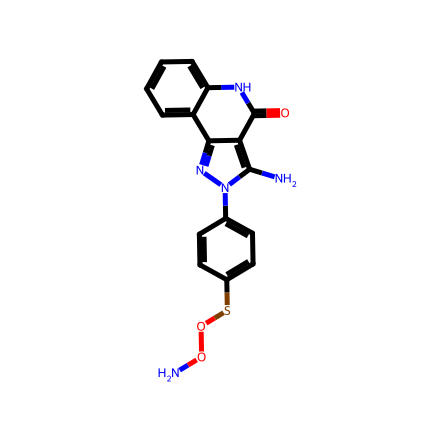 NOOSc1ccc(-n2nc3c(c2N)c(=O)[nH]c2ccccc23)cc1